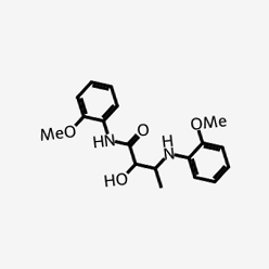 COc1ccccc1NC(=O)C(O)C(C)Nc1ccccc1OC